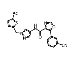 CC(=O)c1ccc(Cn2cc(NC(=O)c3ncoc3-c3cccc(C#N)c3)cn2)s1